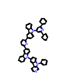 c1ccc(-c2cc(-n3c4ccccc4c4cc(-c5cccc(-c6ccc7c(c6)c6ccccc6n7-c6ccc7c(c6)c6ccncc6n7-c6ccccc6)n5)ccc43)cc(-c3ccccc3)n2)cc1